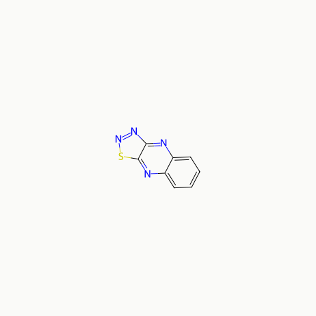 c1ccc2nc3snnc3nc2c1